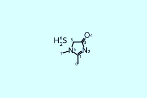 CC1=NC(=O)CN1C.S